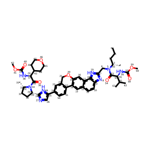 CCC[C@H](C)N(Cc1nc2ccc3cc4c(cc3c2[nH]1)OCc1cc(-c2cnc([C@@H]3CC[C@H](C)N3C(=O)[C@@H](NC(=O)OC)C3CCOCC3)[nH]2)ccc1-4)C(=O)[C@@H](NC(=O)OC)C(C)C